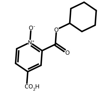 O=C(O)c1cc[n+]([O-])c(C(=O)OC2CCCCC2)c1